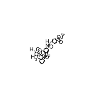 COC(=O)C(C)(C)N(C(=O)c1ccc(NC(=O)Cc2ccc(S(=O)(=O)CC3CC3)cc2)cc1)c1ccccc1